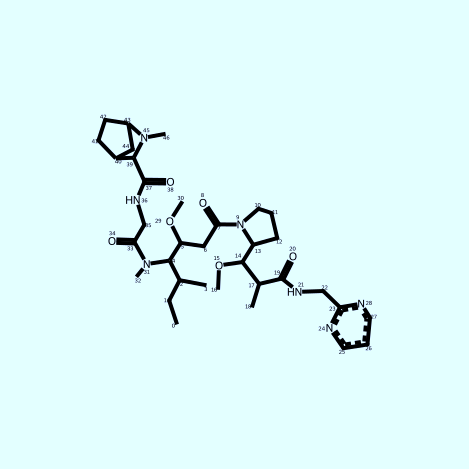 CCC(C)C(C(CC(=O)N1CCCC1C(OC)C(C)C(=O)NCc1ncccn1)OC)N(C)C(=O)CNC(=O)C1C2CCC(C2)N1C